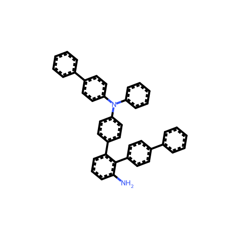 Nc1cccc(-c2ccc(N(c3ccccc3)c3ccc(-c4ccccc4)cc3)cc2)c1-c1ccc(-c2ccccc2)cc1